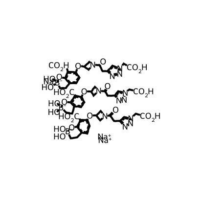 O=C(O)Cn1cc(CC(=O)N2CC(Oc3ccc4c(c3C(=O)O)O[B-](O)(O)CC4)C2)nn1.O=C(O)Cn1cc(CC(=O)N2CC(Oc3ccc4c(c3C(=O)O)O[B-](O)(O)CC4)C2)nn1.O=C(O)Cn1cc(CC(=O)N2CC(Oc3ccc4c(c3C(=O)O)O[B-](O)(O)CC4)C2)nn1.[Na+].[Na+].[Na+]